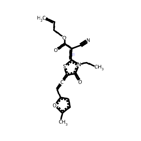 C=CCOC(=O)/C(C#N)=c1\sc(=C=Cc2ccc(C)o2)c(=O)n1CC